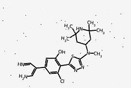 CN(c1nnc(-c2c(O)cc(/C(C=N)=C/N)cc2Cl)s1)C1CC(C)(C)NC(C)(C)C1